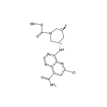 CC(C)(C)OC(=O)N1C[C@@H](F)C[C@H](Nc2ncnc3c(C(N)=O)cc(Cl)nc23)C1